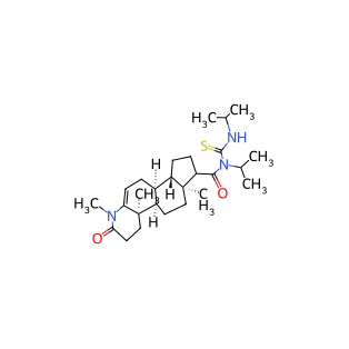 CC(C)NC(=S)N(C(=O)C1CC[C@H]2[C@@H]3CC=C4N(C)C(=O)CC[C@]4(C)[C@@H]3CC[C@]12C)C(C)C